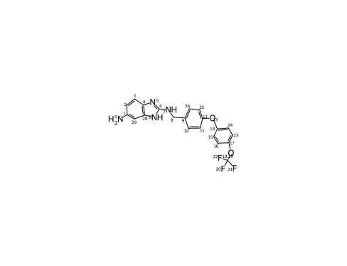 Nc1ccc2nc(NCc3ccc(Oc4ccc(OC(F)(F)F)cc4)cc3)[nH]c2c1